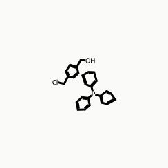 OCc1ccc(CCl)cc1.c1ccc(P(c2ccccc2)c2ccccc2)cc1